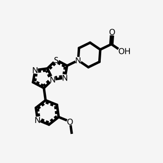 COc1cncc(-c2cnc3sc(N4CCC(C(=O)O)CC4)nn23)c1